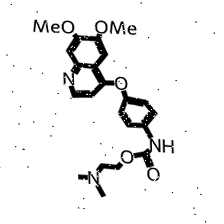 COc1cc2nccc(Oc3ccc(NC(=O)OCCN(C)C)cc3)c2cc1OC